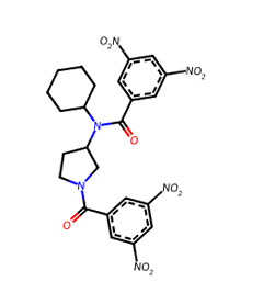 O=C(c1cc([N+](=O)[O-])cc([N+](=O)[O-])c1)N1CCC(N(C(=O)c2cc([N+](=O)[O-])cc([N+](=O)[O-])c2)C2CCCCC2)C1